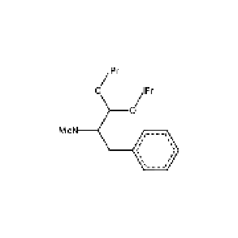 CNC(Cc1ccccc1)C(OC(C)C)OC(C)C